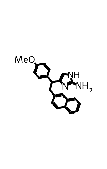 COc1ccc(C(Cc2ccc3ccccc3c2)c2c[nH]c(N)n2)cc1